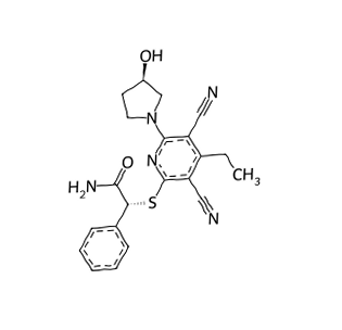 CCc1c(C#N)c(S[C@@H](C(N)=O)c2ccccc2)nc(N2CC[C@@H](O)C2)c1C#N